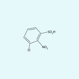 O=[N+]([O-])c1c(Cl)cccc1S(=O)(=O)O